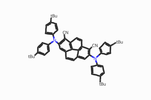 CC(C)(C)c1ccc(N(c2ccc(C(C)(C)C)cc2)c2cc3ccc4cc(N(c5ccc(C(C)(C)C)cc5)c5ccc(C(C)(C)C)cc5)c(C#N)c5ccc(c2C#N)c3c45)cc1